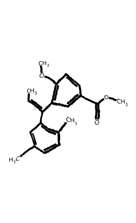 C/C=C(/c1cc(C)ccc1C)c1cc(C(=O)OC)ccc1OC